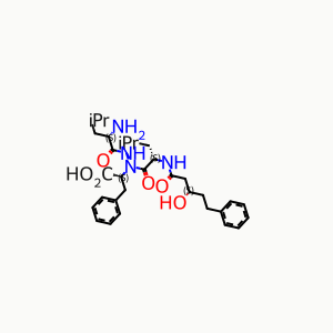 CC(C)C[C@H](NC(=O)C[C@@H](O)CCc1ccccc1)C(=O)N(NC(=O)[C@@H](N)CC(C)C)[C@@H](Cc1ccccc1)C(=O)O